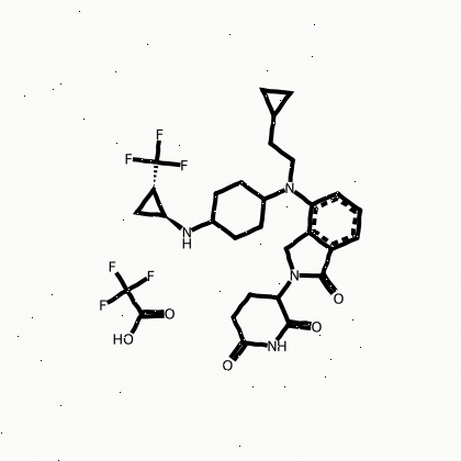 O=C(O)C(F)(F)F.O=C1CCC(N2Cc3c(cccc3N(CCC3CC3)C3CCC(N[C@H]4C[C@@H]4C(F)(F)F)CC3)C2=O)C(=O)N1